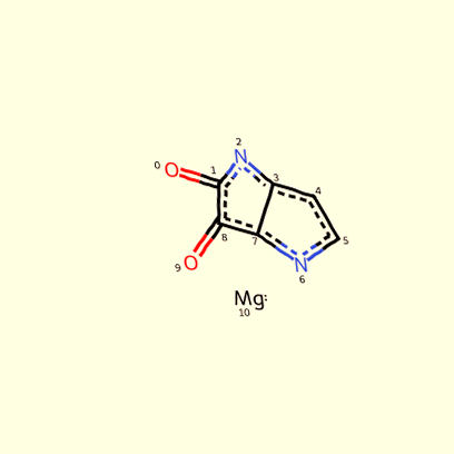 O=c1nc2ccnc-2c1=O.[Mg]